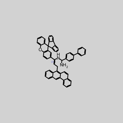 NC(N/C(=C\Cc1c2ccccc2cc2c1ccc1ccccc12)c1ccc2c(c1)C1(c3ccccc3O2)c2ccccc2-c2ccccc21)c1ccc(-c2ccccc2)cc1